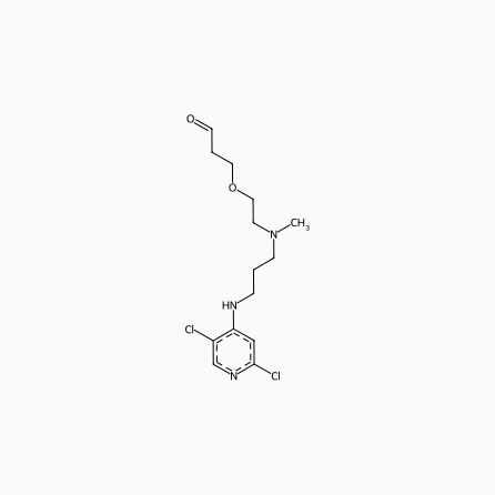 CN(CCCNc1cc(Cl)ncc1Cl)CCOCCC=O